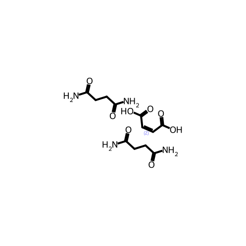 NC(=O)CCC(N)=O.NC(=O)CCC(N)=O.O=C(O)/C=C\C(=O)O